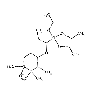 CCO[Si](OCC)(OCC)C(CC)OC1CC[N+](C)([O-])C(C)(C)C1C